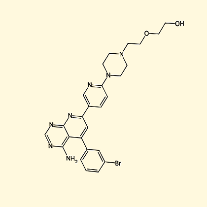 Nc1ncnc2nc(-c3ccc(N4CCN(CCOCCO)CC4)nc3)cc(-c3cccc(Br)c3)c12